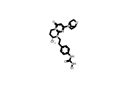 CCNC(=O)Nc1ccc(CCN2c3nc(N4CC5CC4CO5)cc(=O)n3CC[C@H]2C(F)(F)F)cc1